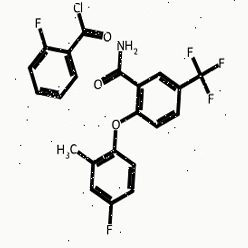 Cc1cc(F)ccc1Oc1ccc(C(F)(F)F)cc1C(N)=O.O=C(Cl)c1ccccc1F